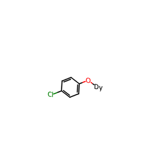 Clc1ccc([O][Dy])cc1